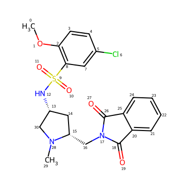 COc1ccc(Cl)cc1S(=O)(=O)N[C@@H]1C[C@H](CN2C(=O)c3ccccc3C2=O)N(C)C1